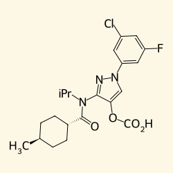 CC(C)N(c1nn(-c2cc(F)cc(Cl)c2)cc1OC(=O)O)C(=O)[C@H]1CC[C@H](C)CC1